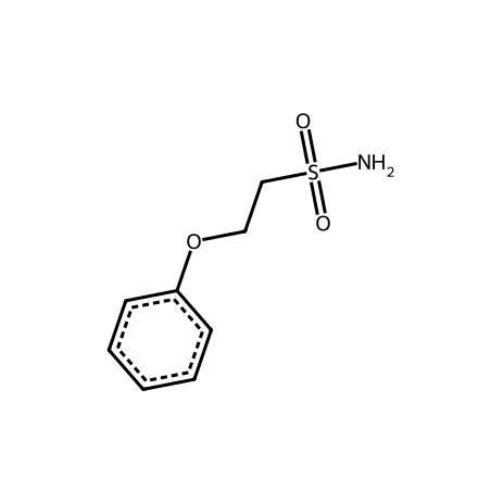 NS(=O)(=O)CCOc1ccccc1